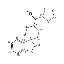 O=C(C1CCCC1)N1CCC2(CC1)OCc1ccccc12